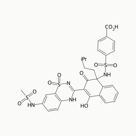 CC(C)CCC1(NS(=O)(=O)c2ccc(C(=O)O)cc2)C(=O)C(C2=NS(=O)(=O)c3cc(NS(C)(=O)=O)ccc3N2)=C(O)c2ccccc21